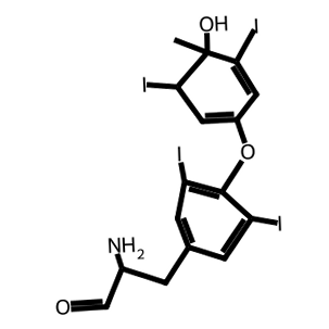 CC1(O)C(I)=CC(Oc2c(I)cc(CC(N)C=O)cc2I)=CC1I